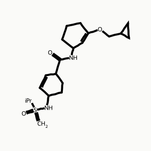 C=S(=O)(NC1C=CC(C(=O)NC2C=C(OCC3CC3)CCC2)CC1)C(C)C